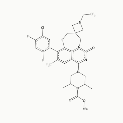 CC1CN(c2nc(=O)n3c4c(c(-c5cc(Cl)c(F)cc5F)c(C(F)(F)F)cc24)SCC2(CN(CC(F)(F)F)C2)C3)CC(C)N1C(=O)OC(C)(C)C